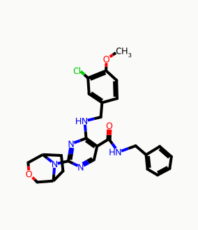 COc1ccc(CNc2nc(N3C4CCC3COC4)ncc2C(=O)NCc2ccccc2)cc1Cl